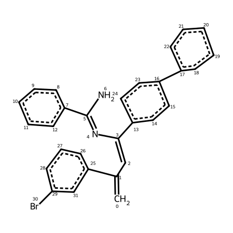 C=C(/C=C(\N=C(/N)c1ccccc1)c1ccc(-c2ccccc2)cc1)c1cccc(Br)c1